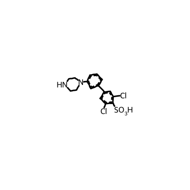 O=S(=O)(O)c1c(Cl)cc(-c2cccc(N3CCNCC3)c2)cc1Cl